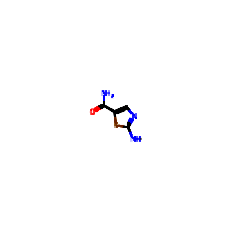 [NH]c1ncc(C(N)=O)s1